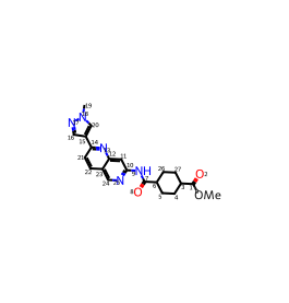 COC(=O)C1CCC(C(=O)Nc2cc3nc(-c4cnn(C)c4)ccc3cn2)CC1